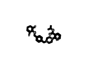 CC(C)OC(=O)c1cccnc1N1CCN(Cc2ccc(COC3=C(F)CCC=C3F)cc2)CC1